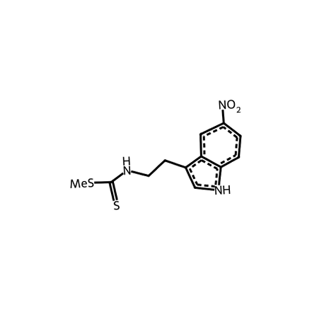 CSC(=S)NCCc1c[nH]c2ccc([N+](=O)[O-])cc12